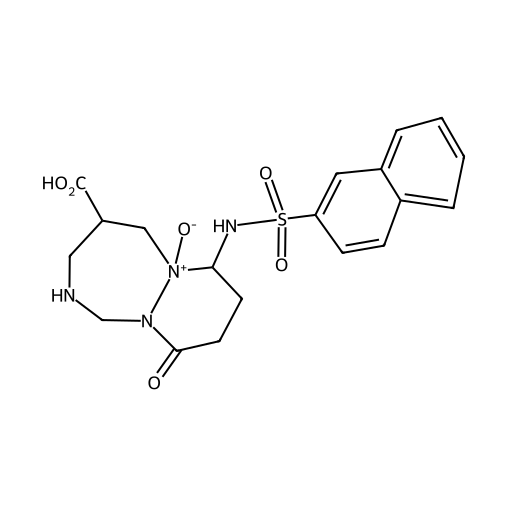 O=C(O)C1CNCN2C(=O)CCC(NS(=O)(=O)c3ccc4ccccc4c3)[N+]2([O-])C1